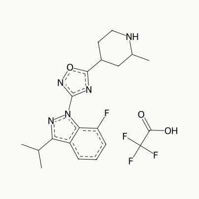 CC1CC(c2nc(-n3nc(C(C)C)c4cccc(F)c43)no2)CCN1.O=C(O)C(F)(F)F